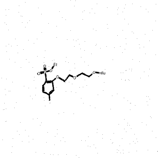 CCCCOCCOCCOc1cc(C)ccc1S(=O)(=O)OCC